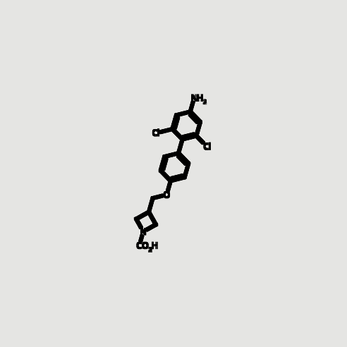 Nc1cc(Cl)c(-c2ccc(OCC3CN(C(=O)O)C3)cc2)c(Cl)c1